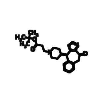 CC(C)(C)OC(=O)CCN1CCC(=C2c3ccccc3CC(=O)c3sccc32)CC1